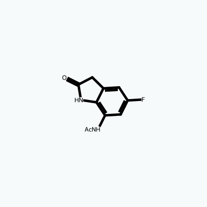 CC(=O)Nc1cc(F)cc2c1NC(=O)C2